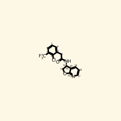 O=C(Cc1cccc(C(F)(F)F)c1Cl)N[C@@H]1COc2ncccc21